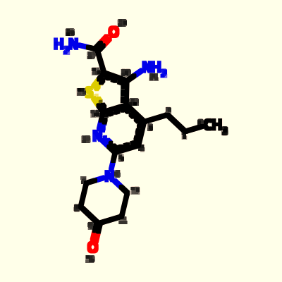 CCCc1cc(N2CCC(=O)CC2)nc2sc(C(N)=O)c(N)c12